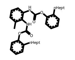 CCCCCCCc1ccccc1OC(=O)Nc1cccc(C)c1NC(=O)Oc1ccccc1CCCCCCC